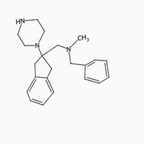 CN(Cc1ccccc1)CC1(N2CCNCC2)Cc2ccccc2C1